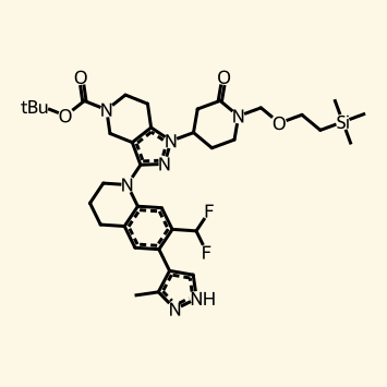 Cc1n[nH]cc1-c1cc2c(cc1C(F)F)N(c1nn(C3CCN(COCC[Si](C)(C)C)C(=O)C3)c3c1CN(C(=O)OC(C)(C)C)CC3)CCC2